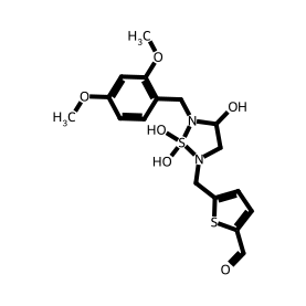 COc1ccc(CN2C(O)CN(Cc3ccc(C=O)s3)S2(O)O)c(OC)c1